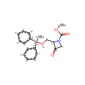 CC(C)(C)OC(=O)N1CC(=O)C1CO[Si](c1ccccc1)(c1ccccc1)C(C)(C)C